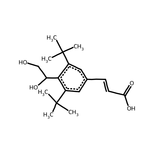 CC(C)(C)c1cc(/C=C/C(=O)O)cc(C(C)(C)C)c1C(O)CO